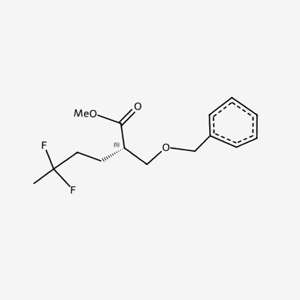 COC(=O)[C@@H](CCC(C)(F)F)COCc1ccccc1